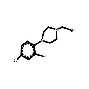 CCc1ccc(N2CCN(CC(C)C)CC2)c(F)c1